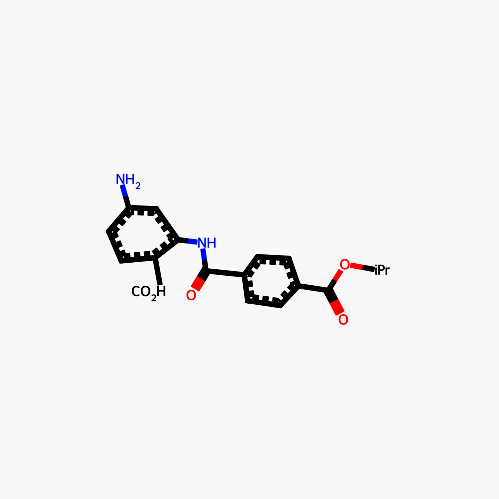 CC(C)OC(=O)c1ccc(C(=O)Nc2cc(N)ccc2C(=O)O)cc1